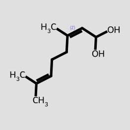 CC(C)=CCC/C(C)=C\C(O)O